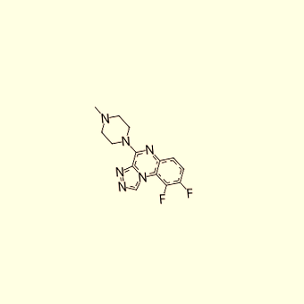 CN1CCN(c2nc3ccc(F)c(F)c3n3cnnc23)CC1